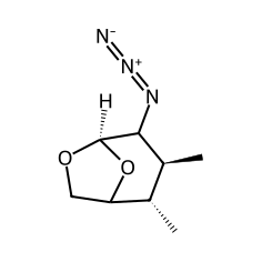 C[C@@H]1C2CO[C@H](O2)C(N=[N+]=[N-])[C@H]1C